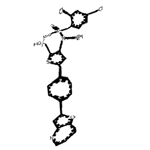 COP(=O)(c1ccc(Cl)cc1Cl)N(c1cc(-c2ccc(-c3cc4ncccc4o3)cc2)sc1C(=O)O)C(C)C